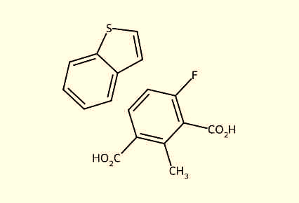 Cc1c(C(=O)O)ccc(F)c1C(=O)O.c1ccc2sccc2c1